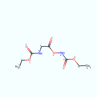 CCOC(=O)NCC(=O)ONC(=O)OCC